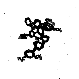 Cc1ccc(-c2ccc3c4ccccc4n(-c4cc(C#N)cc(-n5c6ccccc6c6ccc(-c7ccc(C)cc7C)cc65)c4-c4ccc(C(F)(F)F)cc4C(F)(F)F)c3c2)c(C)c1